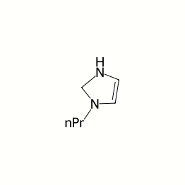 CCCN1C=CNC1